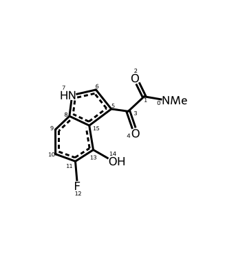 CNC(=O)C(=O)c1c[nH]c2ccc(F)c(O)c12